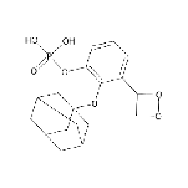 O=P(O)(O)Oc1cccc(C2COO2)c1OC12CC3CC(CC(C3)C1)C2